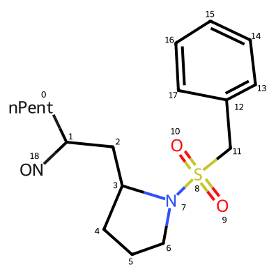 CCCCCC(CC1CCCN1S(=O)(=O)Cc1ccccc1)N=O